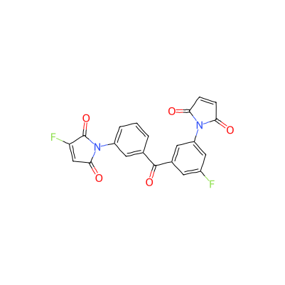 O=C(c1cc(F)cc(N2C(=O)C=CC2=O)c1)c1cccc(N2C(=O)C=C(F)C2=O)c1